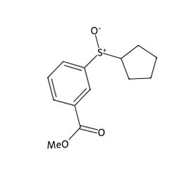 COC(=O)c1cccc([S+]([O-])C2CCCC2)c1